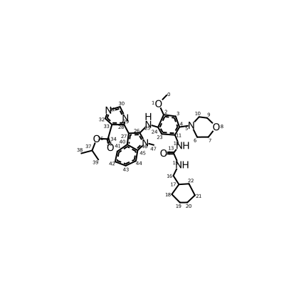 COc1cc(N2CCOCC2)c(NC(=O)NCC2CCCCC2)cc1Nc1c(-c2ncncc2C(=O)OC(C)C)c2ccccc2n1C